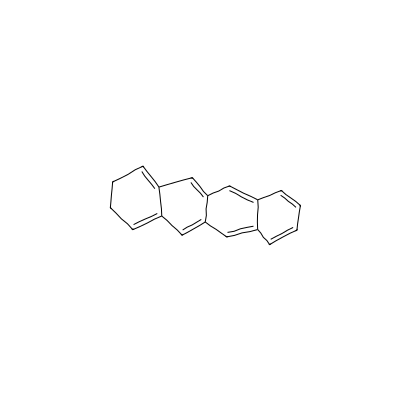 C1=c2cc3cc4ccccc4cc3cc2=CCC1